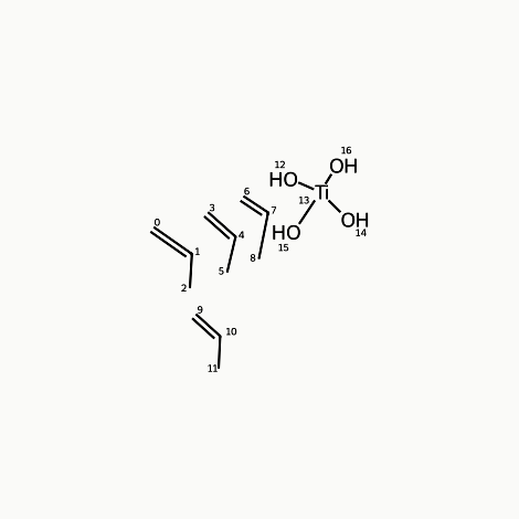 C=CC.C=CC.C=CC.C=CC.[OH][Ti]([OH])([OH])[OH]